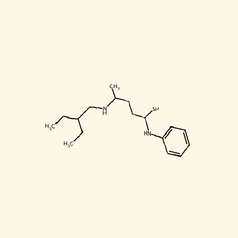 CCC(CC)CNC(C)CCC(S)Nc1ccccc1